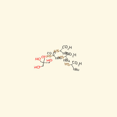 CCCCC(S)C(=O)O.CCCCC(S)C(=O)O.CCCCC(S)C(=O)O.CCCCC(S)C(=O)O.OCC(CO)(CO)CO